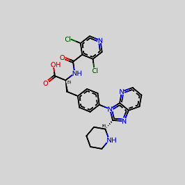 O=C(N[C@@H](Cc1ccc(-n2c([C@H]3CCCCN3)nc3cccnc32)cc1)C(=O)O)c1c(Cl)cncc1Cl